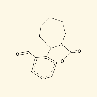 O=Cc1ccccc1C1CCCCCN1C(=O)O